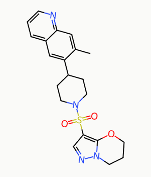 Cc1cc2ncccc2cc1C1CCN(S(=O)(=O)c2cnn3c2OCCC3)CC1